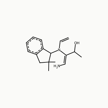 C=CN(/C(=C\N)C(C)O)C1c2ccccc2CC1(C)C